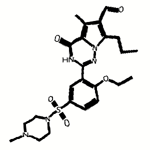 CCCc1c(C=O)c(C)c2c(=O)[nH]c(-c3cc(S(=O)(=O)N4CCN(C)CC4)ccc3OCC)nn12